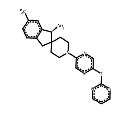 N[C@@H]1c2cc(C(F)(F)F)ccc2CC12CCN(c1cnc(Sc3ncccn3)cn1)CC2